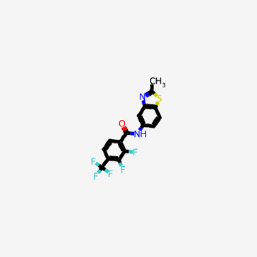 Cc1nc2cc(NC(=O)c3ccc(C(F)(F)F)c(F)c3F)ccc2s1